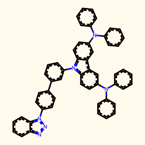 c1ccc(N(c2ccccc2)c2ccc3c(c2)c2cc(N(c4ccccc4)c4ccccc4)ccc2n3-c2cccc(-c3ccc(-n4nnc5ccccc54)cc3)c2)cc1